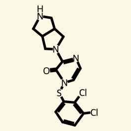 O=c1c(N2CC3CNCC3C2)nccn1Sc1cccc(Cl)c1Cl